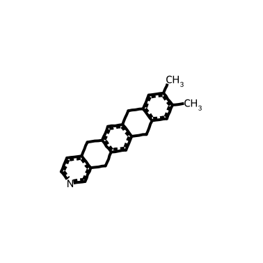 Cc1cc2c(cc1C)Cc1cc3c(cc1C2)Cc1ccncc1C3